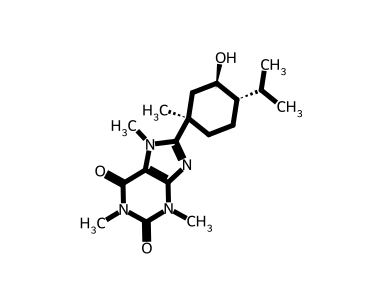 CC(C)[C@@H]1CC[C@@](C)(c2nc3c(c(=O)n(C)c(=O)n3C)n2C)C[C@H]1O